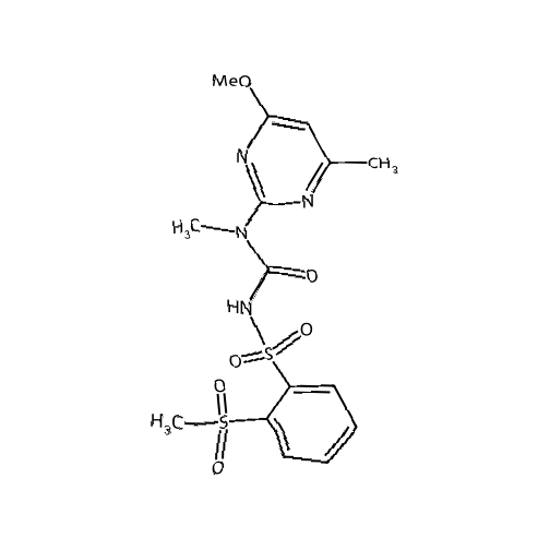 COc1cc(C)nc(N(C)C(=O)NS(=O)(=O)c2ccccc2S(C)(=O)=O)n1